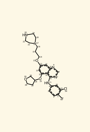 Fc1ccc(Nc2ncnc3cc(OCCCN4CCNCC4)cc(OC4CCOC4)c23)cc1Cl